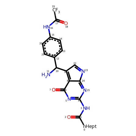 CCCCCCCC(=O)NC1=NC(=O)C2=C(C(N)c3ccc(NC(=O)C(F)(F)F)cc3)C=NC2=N1